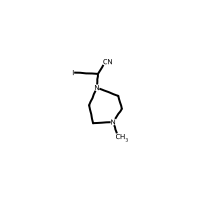 CN1CCN(C(I)C#N)CC1